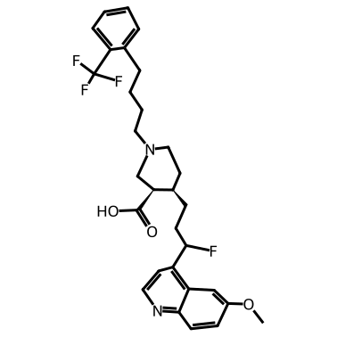 COc1ccc2nccc(C(F)CC[C@@H]3CCN(CCCCc4ccccc4C(F)(F)F)C[C@@H]3C(=O)O)c2c1